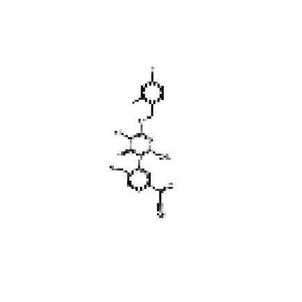 C#CC(=O)c1ccc(C)c(-n2c(C)nc(OCc3ccc(F)cc3F)c(Cl)c2=O)c1